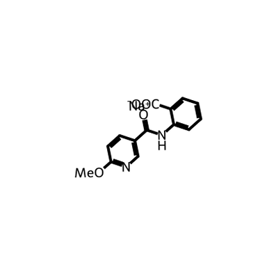 COc1ccc(C(=O)Nc2ccccc2C(=O)[O-])cn1.[Na+]